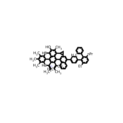 C/C=C1\Bc2c(C)c(C)c(C)c3c2-c2c1c(C(C)=C(C)C)c(-c1ccc(C4=CC=C(c5c(CC)ccc(CCC)c5-c5ccccc5C)CC4)c4ccccc14)c1c(C4CC4)c(C)c(O)c(c21)B3